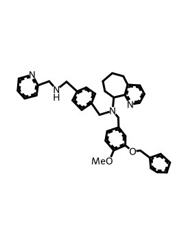 COc1ccc(CN(Cc2ccc(CNCc3ccccn3)cc2)C2CCCCc3cccnc32)cc1OCc1ccccc1